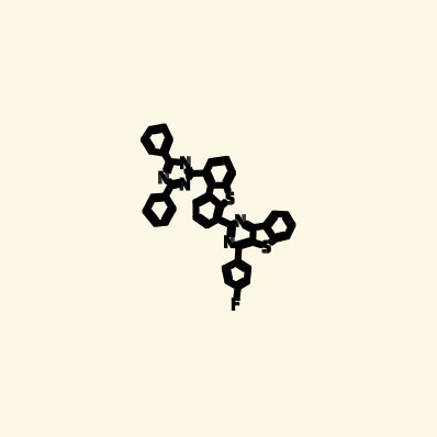 Fc1ccc(-c2nc(-c3cccc4c3sc3cccc(-c5nc(-c6ccccc6)nc(-c6ccccc6)n5)c34)nc3c2sc2ccccc23)cc1